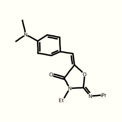 CCN1C(=O)/C(=C\c2ccc(N(C)C)cc2)OC1=NC(C)C